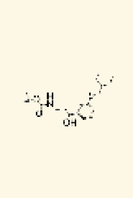 CCC(CC)CSc1cccc(C(O)CCNC(=O)OC(C)(C)C)c1